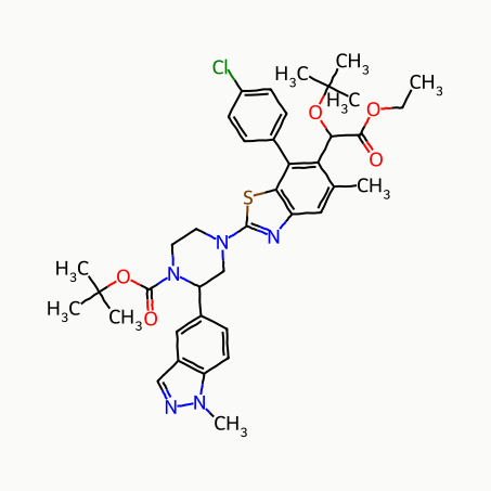 CCOC(=O)C(OC(C)(C)C)c1c(C)cc2nc(N3CCN(C(=O)OC(C)(C)C)C(c4ccc5c(cnn5C)c4)C3)sc2c1-c1ccc(Cl)cc1